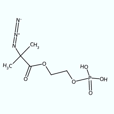 CC(C)(N=[N+]=[N-])C(=O)OCCOP(=O)(O)O